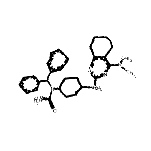 CN(C)c1nc(NC2CCC(N(C(N)=O)C(c3ccccc3)c3ccccc3)CC2)nc2c1CCCC2